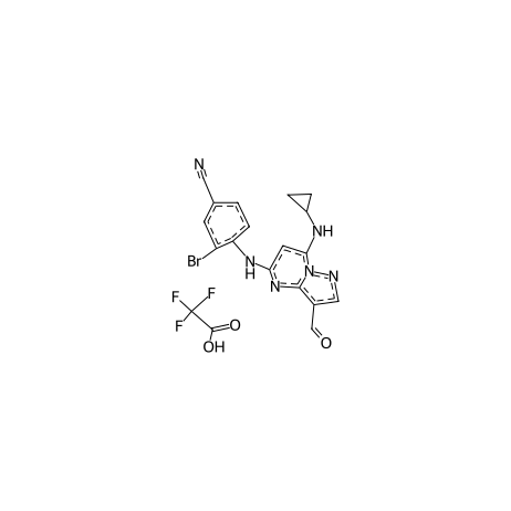 N#Cc1ccc(Nc2cc(NC3CC3)n3ncc(C=O)c3n2)c(Br)c1.O=C(O)C(F)(F)F